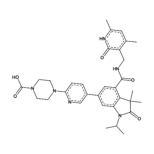 Cc1cc(C)c(CNC(=O)c2cc(-c3ccc(N4CCN(C(=O)O)CC4)nc3)cc3c2C(C)(C)C(=O)N3C(C)C)c(=O)[nH]1